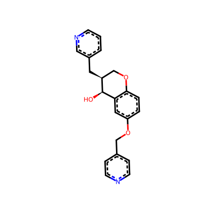 O[C@@H]1c2cc(OCc3ccncc3)ccc2OC[C@@H]1Cc1cccnc1